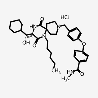 CCCCCCN1C(=O)[C@@H]([C@H](O)C2CCCCC2)NC(=O)C12CCN(Cc1ccc(Oc3ccc(C(=O)NC)cc3)cc1)CC2.Cl